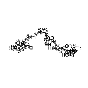 C=CCOCOC1C[C@H](n2cc(C#CCNC(=O)COC(COc3cccc(C(=O)NCCCCCNC(=O)CCCNC(=O)c4ccccc4-c4c(-c5nc6ccccc6s5)c(=O)oc5cc6c(cc45)CCCN6CC)c3)OCC=C)c(N)nc2=O)O[C@@H]1COP(=O)(O)OP(=O)(O)OP(=O)(O)O